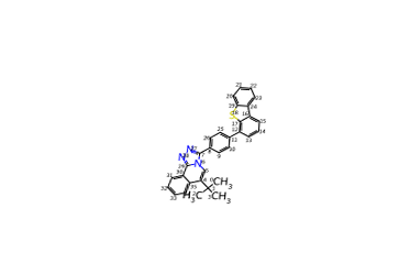 CC(C)(C)c1cn2c(-c3ccc(-c4cccc5c4sc4ccccc45)cc3)nnc2c2ccccc12